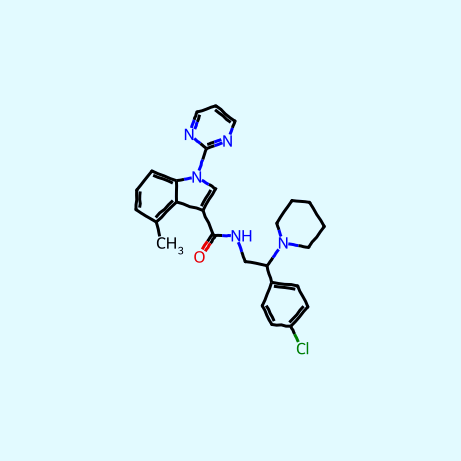 Cc1cccc2c1c(C(=O)NCC(c1ccc(Cl)cc1)N1CCCCC1)cn2-c1ncccn1